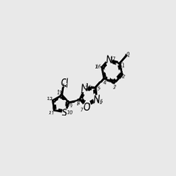 Cc1ccc(-c2noc(-c3sccc3Cl)n2)cn1